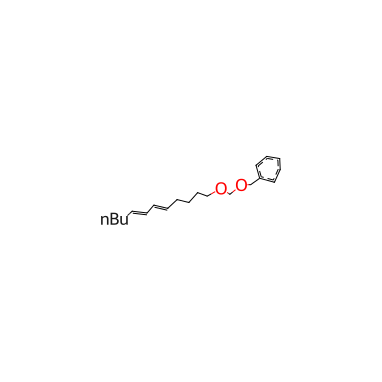 CCCCC=CC=CCCCCOCOCc1ccccc1